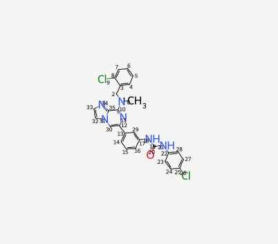 CN(Cc1ccccc1Cl)c1nc(-c2cccc(NC(=O)Nc3ccc(Cl)cc3)c2)cn2ccnc12